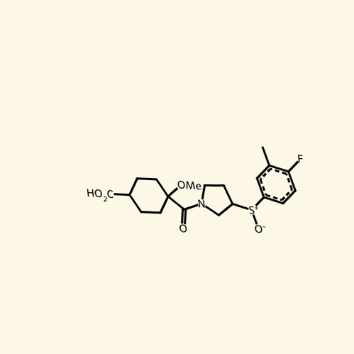 COC1(C(=O)N2CCC([S+]([O-])c3ccc(F)c(C)c3)C2)CCC(C(=O)O)CC1